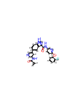 O=C(Nc1ccc(Oc2ccccc2F)nc1)c1n[nH]c2ccc(-c3cncc(NC(=O)C4CC4)c3)cc12